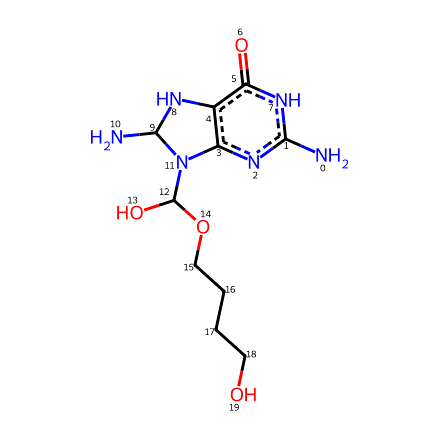 Nc1nc2c(c(=O)[nH]1)NC(N)N2C(O)OCCCCO